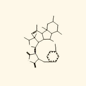 CC1=CC2(C)C(C)O/C3=C4\C(=O)NC(=O)C4Cc4ccc(cc4)OC4C(C32)C1C1(C)CC(C)CC(C)C41